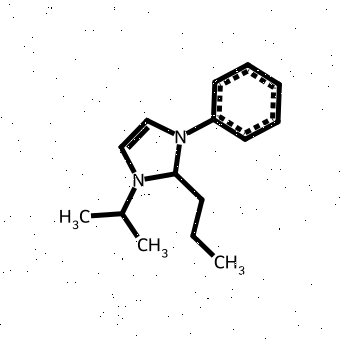 CCCC1N(c2ccccc2)C=CN1C(C)C